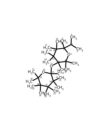 CC(C)C1(C)OC(C)(C)C(C)(OC2(C)OC(C)(C)C(C)(C)C(C)(C)C2(C)C)C(C)(C)C1(C)C